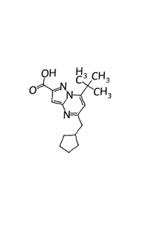 CC(C)(C)c1cc(CC2CCCC2)nc2cc(C(=O)O)nn12